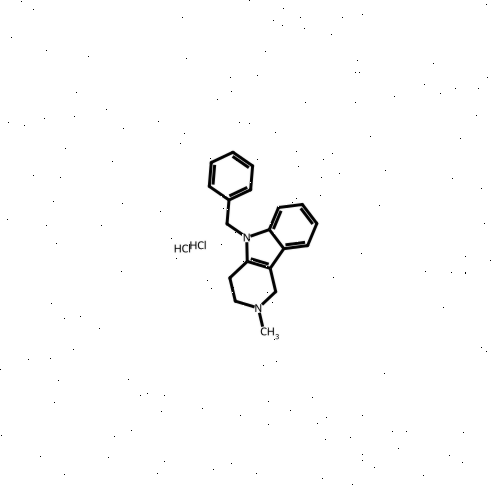 CN1CCc2c(c3ccccc3n2Cc2ccccc2)C1.Cl.Cl